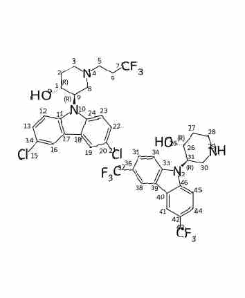 O[C@@H]1CCN(CCC(F)(F)F)C[C@H]1n1c2ccc(Cl)cc2c2cc(Cl)ccc21.O[C@@H]1CCNC[C@H]1n1c2ccc(C(F)(F)F)cc2c2cc(C(F)(F)F)ccc21